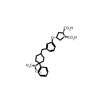 CN(C)C1(c2ccccc2)CCC(Cc2cccc(O[C@@H]3C[C@@H](C(=O)O)N(C(=O)O)C3)c2)CC1